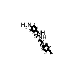 Nc1ccc(NC(=S)NCCOc2ccc(I)cc2)cc1